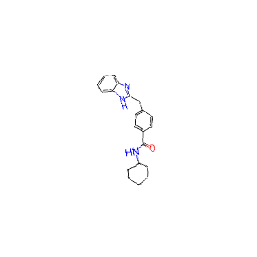 O=C(NC1CCCCC1)c1ccc(Cc2nc3ccccc3[nH]2)cc1